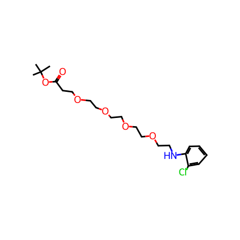 CC(C)(C)OC(=O)CCOCCOCCOCCOCCNc1ccccc1Cl